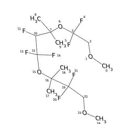 COCC(F)(F)OC(C)(C)C(F)C(F)(F)OC(C)(C)C(F)(F)COC